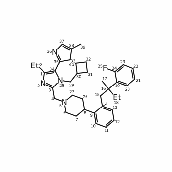 CCc1nc(CN2CCC(c3ccccc3CC(C)(CC)c3ccccc3F)CC2)n(CC2CCC2)c1C1=NC=C(C)C1